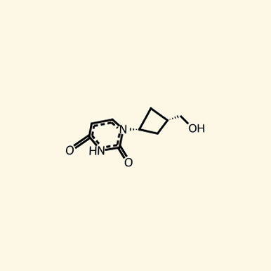 O=c1ccn([C@H]2C[C@@H](CO)C2)c(=O)[nH]1